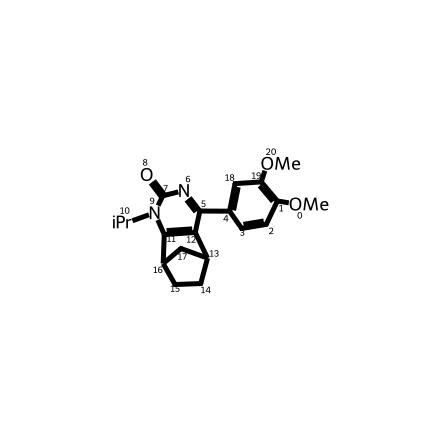 COc1ccc(-c2nc(=O)n(C(C)C)c3c2C2CCC3C2)cc1OC